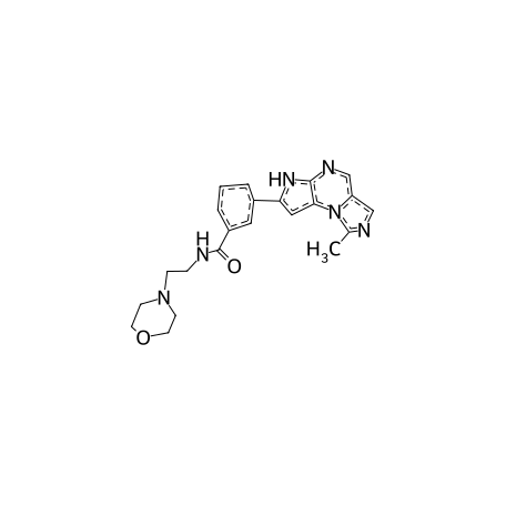 Cc1ncc2cnc3[nH]c(-c4cccc(C(=O)NCCN5CCOCC5)c4)cc3n12